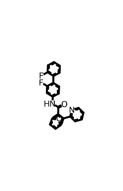 O=C(Nc1ccc(-c2ccccc2F)c(F)c1)c1c(-c2ccccn2)c2ccc1o2